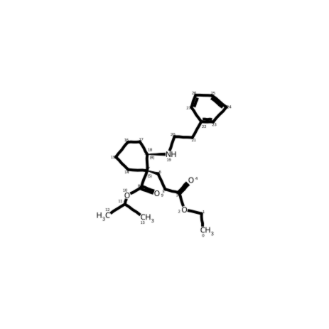 CCOC(=O)CC[C@@]1(C(=O)OC(C)C)CCCC[C@H]1NCCc1ccccc1